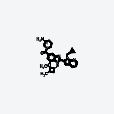 COc1cc(C(=O)N2CCC[C@@H](N)C2)cc2nc(-c3cc4cccnc4n3CC3CC3)n(C[C@H]3C[C@H](C)C3)c12